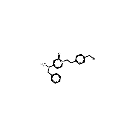 CN(Cc1ccccc1)c1ccn(CCc2ccc(CBr)cc2)c(=O)c1